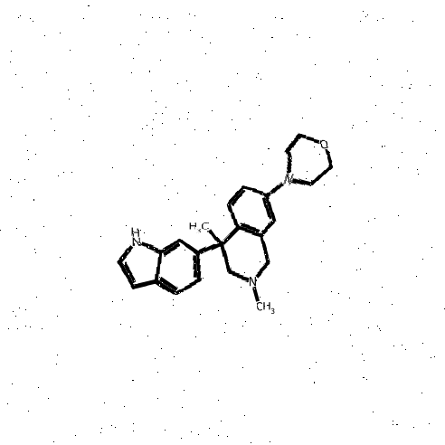 CN1Cc2cc(N3CCOCC3)ccc2C(C)(c2ccc3cc[nH]c3c2)C1